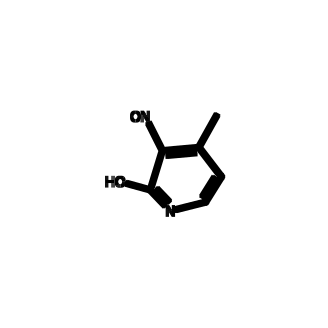 Cc1ccnc(O)c1N=O